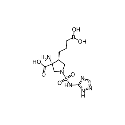 N[C@@]1(C(=O)O)CN(S(=O)(=O)Nc2ncn[nH]2)C[C@@H]1CCCB(O)O